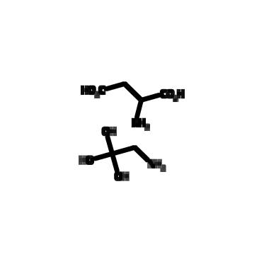 NC(CC(=O)O)C(=O)O.NCC(O)(O)O